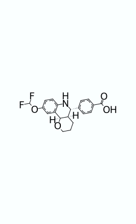 O=C(O)c1ccc([C@H]2Nc3ccc(OC(F)F)cc3[C@@H]3OCCC[C@H]23)cc1